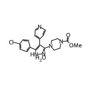 COC(=O)N1CCN(c2n[nH]c(-c3ccc(Cl)cc3)c2-c2ccncc2)CC1.O